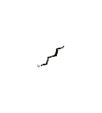 FC=CCCBr